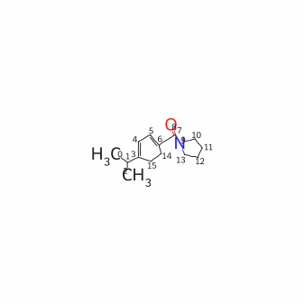 CC(C)C1=CC=C(C(=O)N2CCCC2)CC1